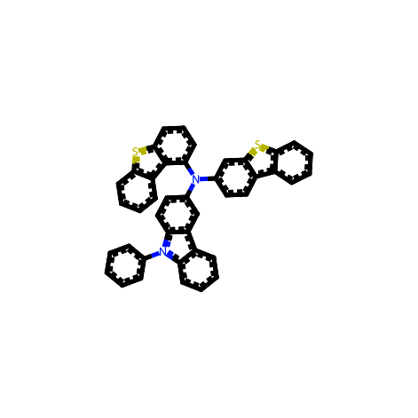 c1ccc(-n2c3ccccc3c3cc(N(c4ccc5c(c4)sc4ccccc45)c4cccc5sc6ccccc6c45)ccc32)cc1